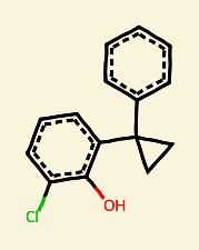 Oc1c(Cl)cccc1C1(c2ccccc2)CC1